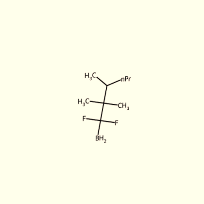 BC(F)(F)C(C)(C)C(C)CCC